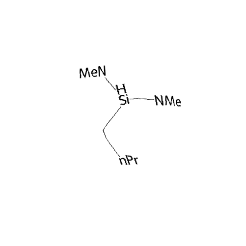 CCCC[SiH](NC)NC